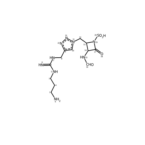 N=C(NCCCN)NCc1cn(CC2C(NC=O)C(=O)N2S(=O)(=O)O)nn1